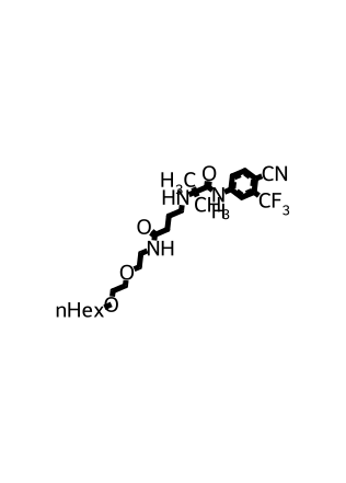 CCCCCCOCCOCCNC(=O)CCCNC(C)(C)C(=O)Nc1ccc(C#N)c(C(F)(F)F)c1